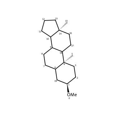 CO[C@@H]1CC[C@@]2(C)C(CCC3C4CCC[C@@]4(C)CCC32)C1